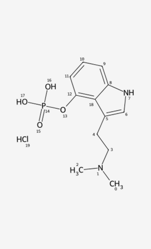 CN(C)CCc1c[nH]c2cccc(OP(=O)(O)O)c12.Cl